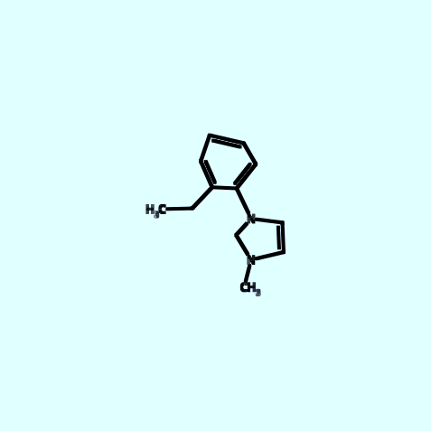 CCc1ccccc1N1C=CN(C)C1